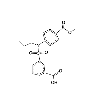 CCCN(c1ccc(C(=O)OC)cc1)S(=O)(=O)c1cccc(C(=O)O)c1